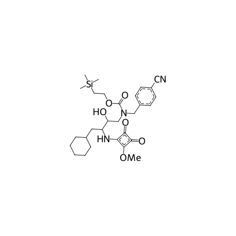 COc1c(NC(CC2CCCCC2)C(O)CN(Cc2ccc(C#N)cc2)C(=O)OCC[Si](C)(C)C)c(=O)c1=O